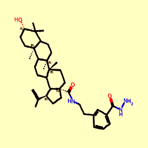 C=C(C)[C@@H]1CC[C@]2(C(=O)NCCc3cccc(C(=O)NN)c3)CC[C@]3(C)C(CCC4[C@@]5(C)CC[C@H](O)C(C)(C)C5CC[C@]43C)C12